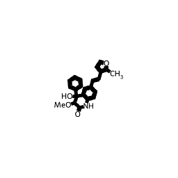 COC1C(=O)Nc2ccc(C=Cc3ccoc3C)cc2C1(O)c1ccccc1